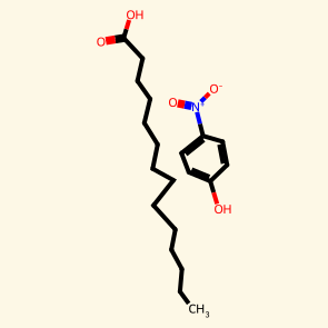 CCCCCCCCCCCCCC(=O)O.O=[N+]([O-])c1ccc(O)cc1